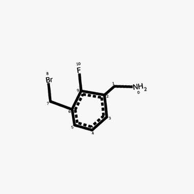 NCc1cccc(CBr)c1F